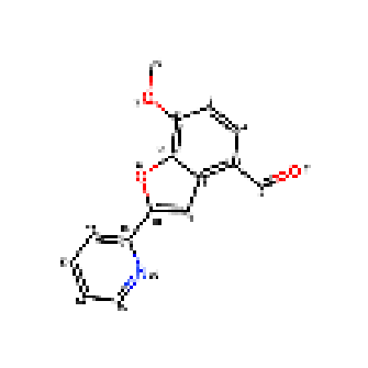 COc1ccc(C=O)c2cc(-c3ccccn3)oc12